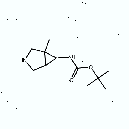 CC(C)(C)OC(=O)NC1C2CNCC21C